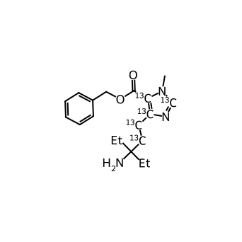 CCC(N)(CC)[13CH2][13CH2][13c]1n[13cH]n(C)[13c]1C(=O)OCc1ccccc1